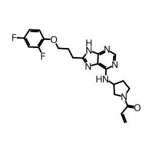 C=CC(=O)N1CCC(Nc2ncnc3[nH]c(CCCOc4ccc(F)cc4F)nc23)C1